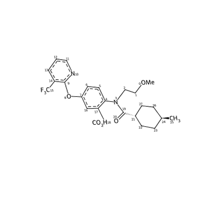 COCCN(c1ccc(Oc2ncccc2C(F)(F)F)cc1C(=O)O)C(=O)[C@H]1CC[C@H](C)CC1